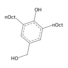 CCCCCCCCc1cc(CO)cc(CCCCCCCC)c1O